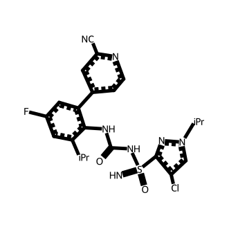 CC(C)c1cc(F)cc(-c2ccnc(C#N)c2)c1NC(=O)NS(=N)(=O)c1nn(C(C)C)cc1Cl